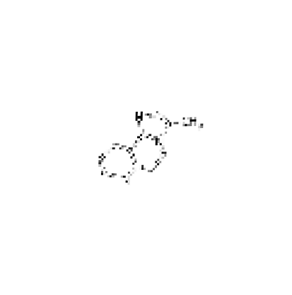 Cc1cnc2c3cccnc3ccn12